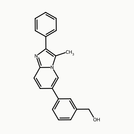 Cc1c(-c2ccccc2)nc2ccc(-c3cccc(CO)c3)cn12